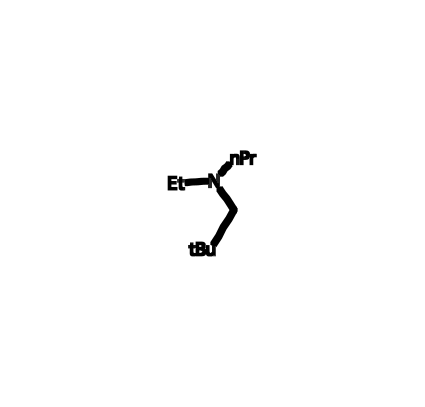 CCCN(CC)CC(C)(C)C